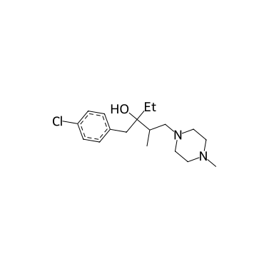 CCC(O)(Cc1ccc(Cl)cc1)C(C)CN1CCN(C)CC1